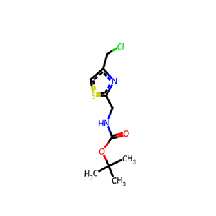 CC(C)(C)OC(=O)NCc1nc(CCl)cs1